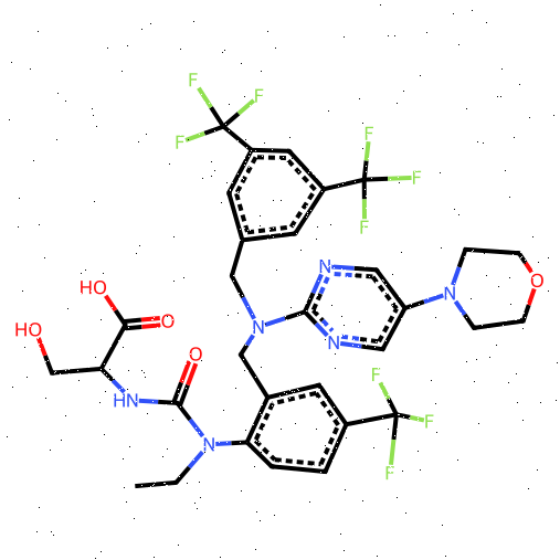 CCN(C(=O)NC(CO)C(=O)O)c1ccc(C(F)(F)F)cc1CN(Cc1cc(C(F)(F)F)cc(C(F)(F)F)c1)c1ncc(N2CCOCC2)cn1